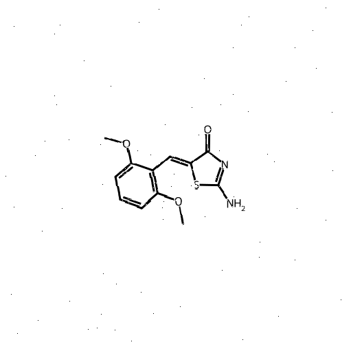 COc1cccc(OC)c1C=C1SC(N)=NC1=O